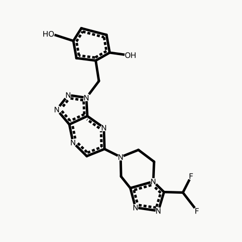 Oc1ccc(O)c(Cn2nnc3ncc(N4CCn5c(nnc5C(F)F)C4)nc32)c1